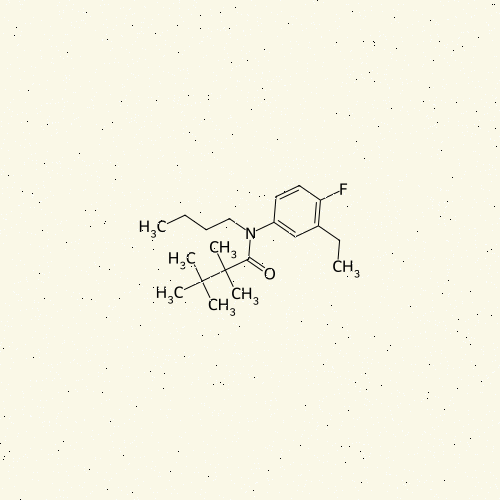 CCCCN(C(=O)C(C)(C)C(C)(C)C)c1ccc(F)c(CC)c1